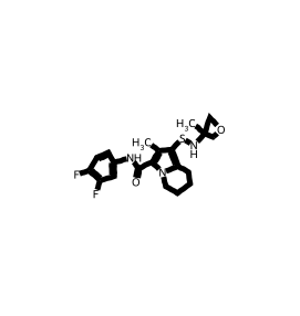 Cc1c(SNC2(C)COC2)c2n(c1C(=O)Nc1ccc(F)c(F)c1)CCCC2